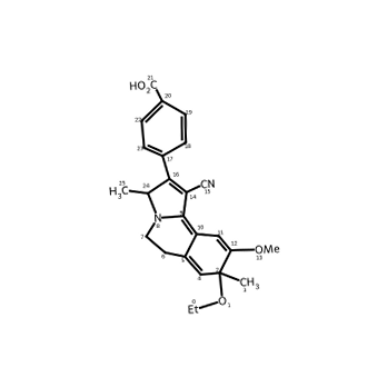 CCOC1(C)C=C2CCN3C(=C2C=C1OC)C(C#N)=C(c1ccc(C(=O)O)cc1)C3C